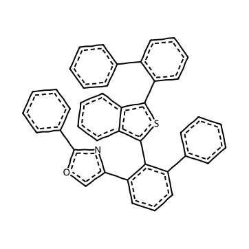 c1ccc(-c2nc(-c3cccc(-c4ccccc4)c3-c3sc(-c4ccccc4-c4ccccc4)c4ccccc34)co2)cc1